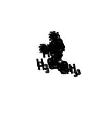 CC1(C)OC[C@@H]([C@H]2OC(C)(C)O[C@@H]2COO[C@@H]2O[C@@H]3COC(c4ccccc4)O[C@H]3[C@H](OCc3ccccc3)[C@@H]2O)O1